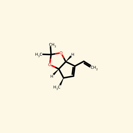 C=CC1=C[C@@H](C)[C@@H]2OC(C)(C)O[C@H]12